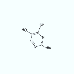 CC(C)(C)c1ncc(O)c(O)n1